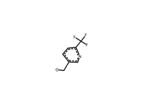 [O]Cc1ccc(C(F)(F)F)nc1